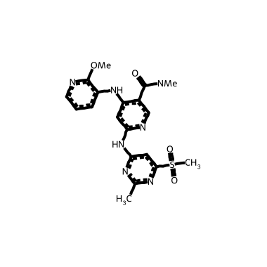 CNC(=O)c1cnc(Nc2cc(S(C)(=O)=O)nc(C)n2)cc1Nc1cccnc1OC